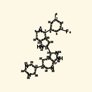 Cc1cc(F)cc(-c2nccc3[nH]c(-c4n[nH]c5ncc(-c6cncnc6)cc45)cc23)c1